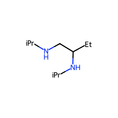 CCC(CNC(C)C)NC(C)C